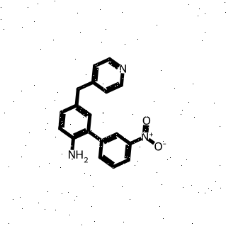 Nc1ccc(Cc2ccncc2)cc1-c1cccc([N+](=O)[O-])c1